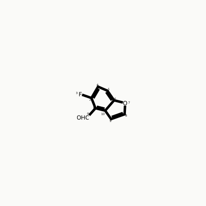 O=Cc1c(F)ccc2occc12